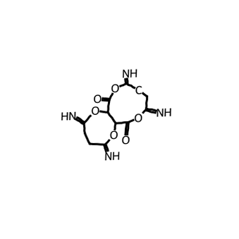 N=C1CCC(=N)OC(=O)C2OC(=N)CCC(=N)OC2C(=O)O1